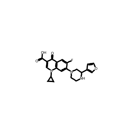 O=C(O)c1cn(C2CC2)c2cc(N3CCNC(c4ccoc4)C3)c(F)cc2c1=O